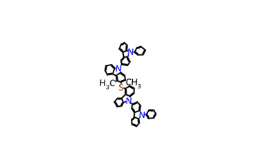 Cc1ccc2c(c1Sc1ccc3c(c1C)c1ccccc1n3-c1ccc3c(c1)c1ccccc1n3-c1ccccc1)c1ccccc1n2-c1ccc2c(c1)c1ccccc1n2-c1ccccc1